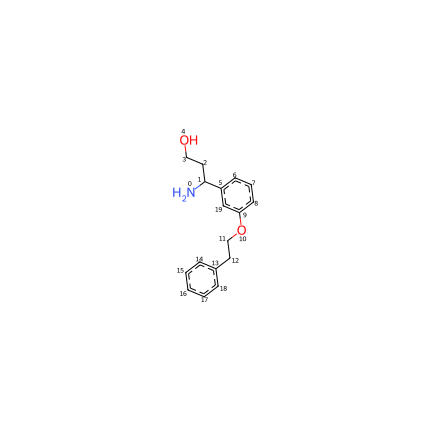 NC(CCO)c1cccc(OCCc2ccccc2)c1